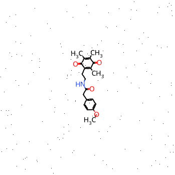 COc1ccc(CC(=O)NCCC2=C(C)C(=O)C(C)=C(C)C2=O)cc1